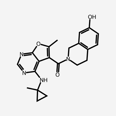 Cc1oc2ncnc(NC3(C)CC3)c2c1C(=O)N1CCc2ccc(O)cc2C1